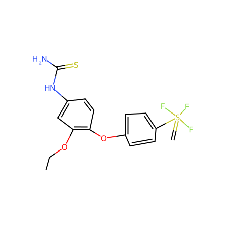 C=S(F)(F)(F)c1ccc(Oc2ccc(NC(N)=S)cc2OCC)cc1